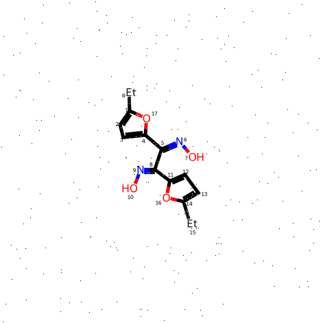 CCc1ccc(C(=NO)C(=NO)c2ccc(CC)o2)o1